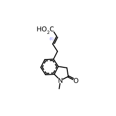 CN1C(=O)Cc2c(C/C=C/C(=O)O)cccc21